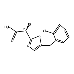 CC[C@H](C(N)=O)c1ncc(Cc2ccccc2Cl)s1